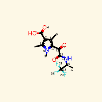 Cc1c(C(=O)O)c(C)n(C)c1C(=O)C(=O)N[C@@H](C)C(F)(F)F